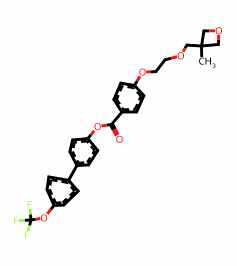 CC1(COCCOc2ccc(C(=O)Oc3ccc(-c4ccc(OC(F)(F)F)cc4)cc3)cc2)COC1